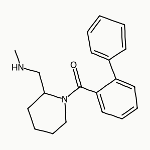 CNCC1CCCCN1C(=O)c1ccccc1-c1ccccc1